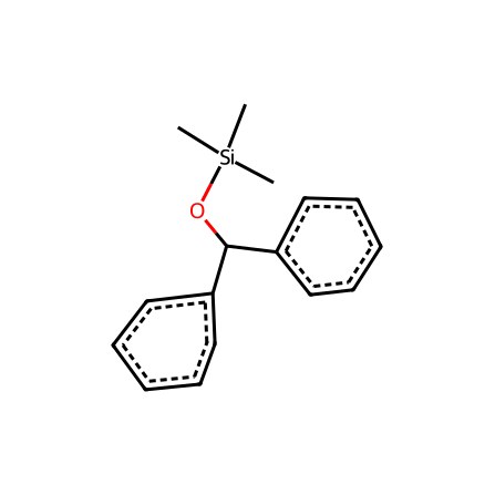 C[Si](C)(C)OC(c1ccccc1)c1ccccc1